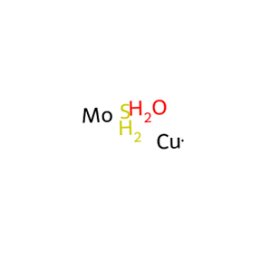 O.S.[Cu].[Mo]